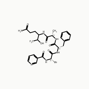 CC(C)[C@H](NC(=O)c1cccnc1)C(=O)N[C@@H](Cc1ccccc1)C(=O)N[C@@H](C)C(=O)NC(CCC(N)=O)C(O)C(F)(F)F